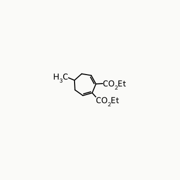 CCOC(=O)C1=CCC(C)CC=C1C(=O)OCC